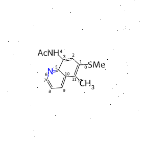 CSc1cc(NC(C)=O)c2ncccc2c1C